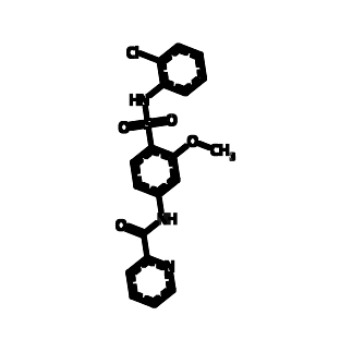 COc1cc(NC(=O)c2ccccn2)ccc1S(=O)(=O)Nc1ccccc1Cl